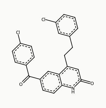 O=C(c1ccc(Cl)cc1)c1ccc2[nH]c(=O)cc(CCc3cccc(Cl)c3)c2c1